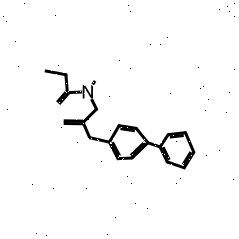 C=C(Cc1ccc(-c2ccccc2)cc1)CN(C)C(=C)CC